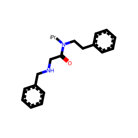 CC(C)N(CCc1ccccc1)C(=O)CNCc1ccccc1